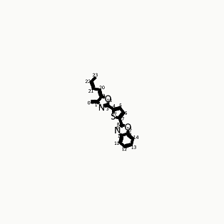 C=c1nc(-c2ccc(-c3nc4ccccc4o3)s2)o/c1=C/C=C\C